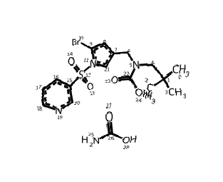 CC(C)(C)CN(Cc1cc(Br)n(S(=O)(=O)c2cccnc2)c1)C(=O)O.NC(=O)O